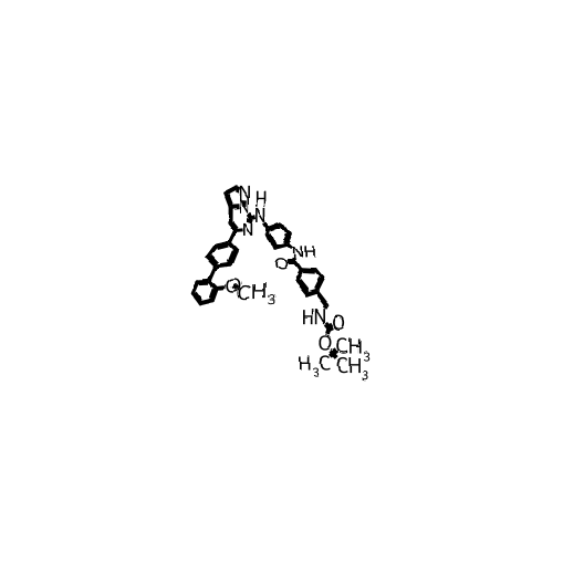 COc1ccccc1-c1ccc(-c2cc3ccnn3c(Nc3ccc(NC(=O)c4ccc(CNC(=O)OC(C)(C)C)cc4)cc3)n2)cc1